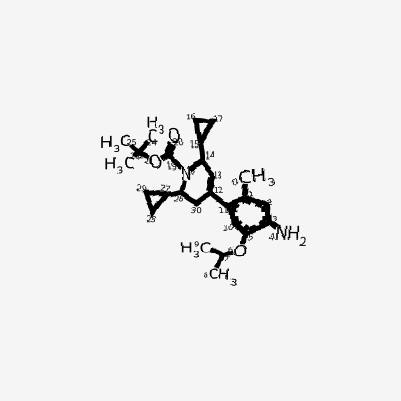 Cc1cc(N)c(OC(C)C)cc1C1=CC(C2CC2)N(C(=O)OC(C)(C)C)C(C2CC2)C1